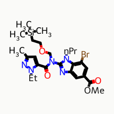 CCCn1c(N(COCC[Si](C)(C)C)C(=O)c2cc(C)nn2CC)nc2cc(C(=O)OC)cc(Br)c21